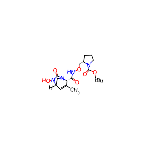 CC1=C[C@H]2CN(C(=O)N2O)[C@@H]1C(=O)NOC[C@@H]1CCCN1C(=O)OC(C)(C)C